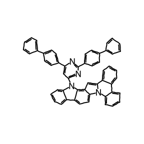 c1ccc(-c2ccc(-c3cc(-n4c5ccccc5c5ccc6c(cc7c8ccccc8c8ccccc8n76)c54)nc(-c4ccc(-c5ccccc5)cc4)n3)cc2)cc1